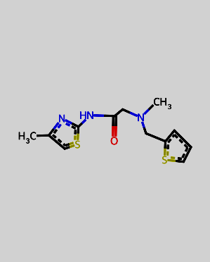 Cc1csc(NC(=O)CN(C)Cc2cccs2)n1